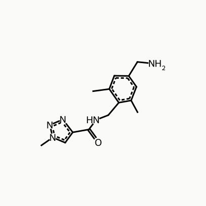 Cc1cc(CN)cc(C)c1CNC(=O)c1cn(C)nn1